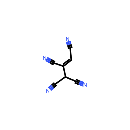 N#CC=C(C#N)C(C#N)C#N